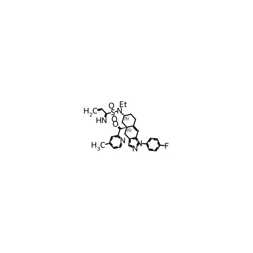 C=CC(=N)S(=O)(=O)N(CC)[C@H]1CCC2=Cc3c(cnn3-c3ccc(F)cc3)C[C@]2(C(=O)c2cc(C)ccn2)C1